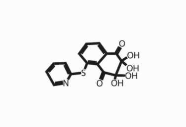 O=C1c2cccc(Sc3ccccn3)c2C(=O)C(O)(O)C1(O)O